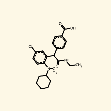 CCNC(=O)C(c1ccc(C(=O)O)cc1)c1cc(Cl)ccc1N(C)C1CCCCC1